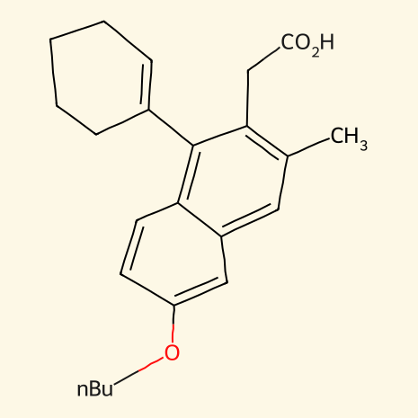 CCCCOc1ccc2c(C3=CCCCC3)c(CC(=O)O)c(C)cc2c1